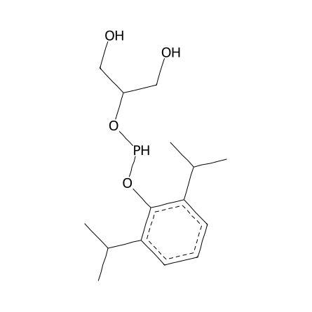 CC(C)c1cccc(C(C)C)c1OPOC(CO)CO